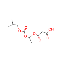 CC(C)COC(=O)OC(C)OC(=O)CC(=O)O